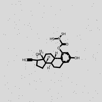 C#C[C@]1(O)CC[C@H]2[C@@H]3CCc4cc(O)cc(OC(=O)N(S)S)c4[C@H]3CCC21C